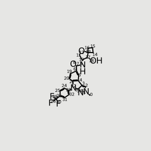 Cn1cc2c3cc(C(=O)N[C@@H]4COC5(CCC5)[C@H]4O)ccc3n(-c3ccc(C(F)(F)F)cc3)c2n1